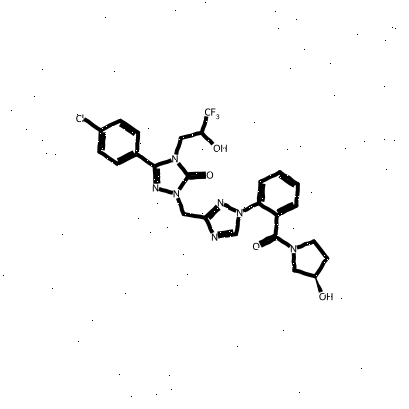 O=C(c1ccccc1-n1cnc(Cn2nc(-c3ccc(Cl)cc3)n(CC(O)C(F)(F)F)c2=O)n1)N1CC[C@@H](O)C1